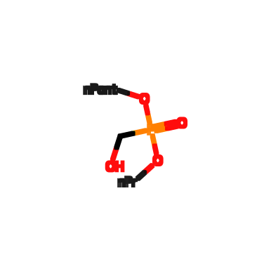 CCCCCOP(=O)(CO)OCCC